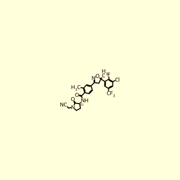 Cc1cc(C2=NOC(C)(c3cc(C(F)(F)F)cc(Cl)c3F)C2)ccc1C(=O)N[C@H]1CCN(CC#N)C1=O